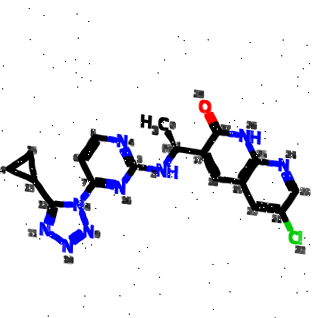 C[C@H](Nc1nccc(-n2nnnc2C2CC2)n1)c1cc2cc(Cl)cnc2[nH]c1=O